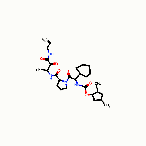 C=CCNC(=O)C(=O)C(CCC)NC(=O)[C@@H]1CCCN1C(=O)C(NC(=O)OC1CC(C)CC1C)C1CCCCC1